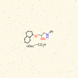 CC(C)NCC(O)COc1cccc2ccccc12.CCCCCCCCCCCC(=O)O